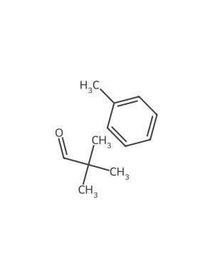 CC(C)(C)C=O.Cc1ccccc1